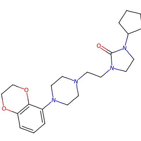 O=C1N(CCN2CCN(c3cccc4c3OCCO4)CC2)CCN1C1CCCC1